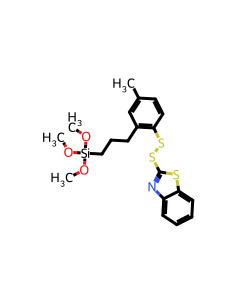 CO[Si](CCCc1cc(C)ccc1SSc1nc2ccccc2s1)(OC)OC